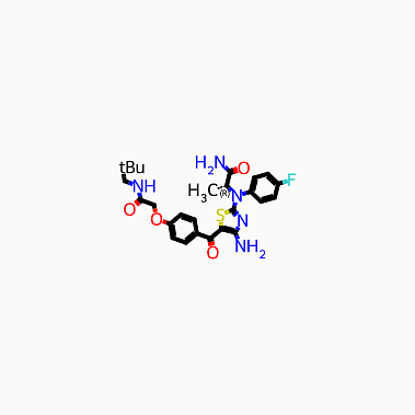 C[C@H](C(N)=O)N(c1ccc(F)cc1)c1nc(N)c(C(=O)c2ccc(OCC(=O)NCC(C)(C)C)cc2)s1